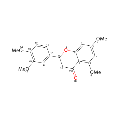 COc1cc(OC)c2c(c1)OC(c1ccc(OC)c(OC)c1)CC2=O